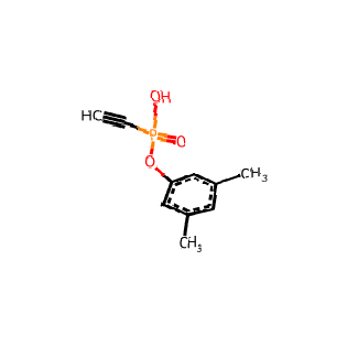 C#CP(=O)(O)Oc1cc(C)cc(C)c1